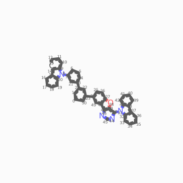 c1cc(-c2cccc(-n3c4ccccc4c4ccccc43)c2)cc(-c2ccc3oc4c(-n5c6ccccc6c6ccccc65)ncnc4c3c2)c1